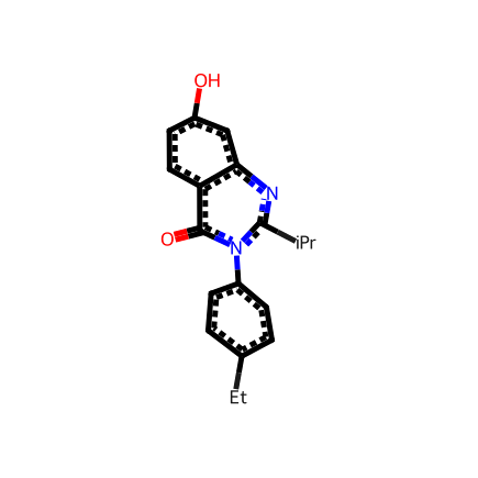 CCc1ccc(-n2c(C(C)C)nc3cc(O)ccc3c2=O)cc1